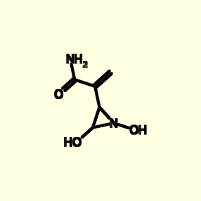 C=C(C(N)=O)C1C(O)N1O